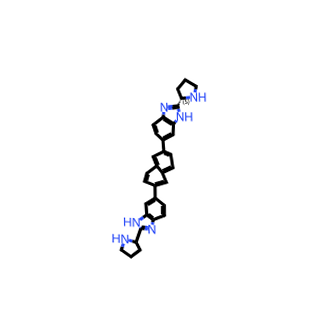 c1cc2cc(-c3ccc4nc([C@@H]5CCCN5)[nH]c4c3)ccc2cc1-c1ccc2nc(C3CCCN3)[nH]c2c1